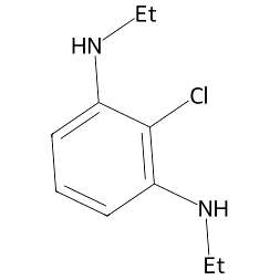 CCNc1cccc(NCC)c1Cl